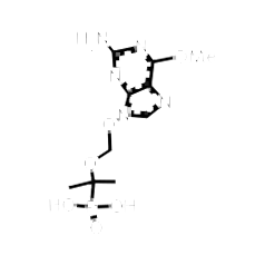 COc1nc(N)nc2c1ncn2OCOC(C)(C)P(=O)(O)O